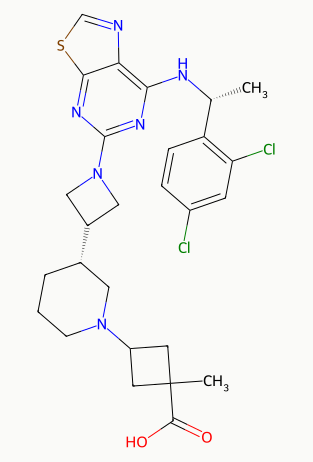 C[C@@H](Nc1nc(N2CC([C@H]3CCCN(C4CC(C)(C(=O)O)C4)C3)C2)nc2scnc12)c1ccc(Cl)cc1Cl